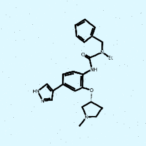 CCN(Cc1ccccc1)C(=O)Nc1ccc(-c2cn[nH]c2)cc1O[C@@H]1CCN(C)C1